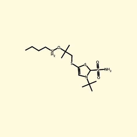 CCCC[SiH2]OC(C)(C)CSC1=CN(C(C)(C)C)C(S(N)(=O)=O)S1